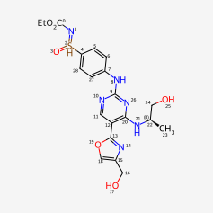 CCOC(=O)N=[SH](=O)c1ccc(Nc2ncc(-c3nc(CO)co3)c(N[C@H](C)CO)n2)cc1